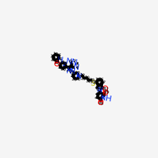 Nc1ncnc2c1c(-c1ccc(Oc3ccccc3)cc1)nn2[C@@H]1CCCN(CCCCCSc2cccc3c2CN(C2CCC(=O)NC2=O)C3=O)C1